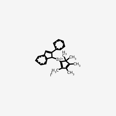 CC1=C(C)C(C)(C)[C]([Zr+2][CH]2C(c3ccccc3)=Cc3ccccc32)=C1C.[I-].[I-]